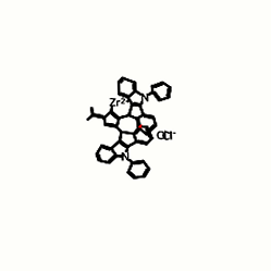 CC(C)=C1C=C(C2c3ccccc3-c3c2c2ccccc2n3-c2ccccc2)C(C2c3ccccc3-c3c2c2ccccc2n3-c2ccccc2)=[C]1[Zr+2].[Cl-].[Cl-]